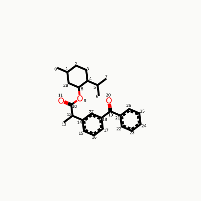 CC1CCC(C(C)C)C(OC(=O)C(C)c2cccc(C(=O)c3ccccc3)c2)C1